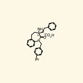 CC(C)c1ccc(CN2C(=O)[C@@](N)([C@H](Cc3ccccc3)C(=O)O)CCc3ccccc32)cc1